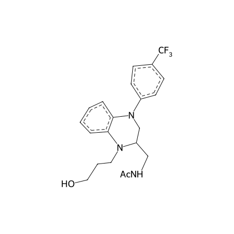 CC(=O)NCC1CN(c2ccc(C(F)(F)F)cc2)c2ccccc2N1CCCO